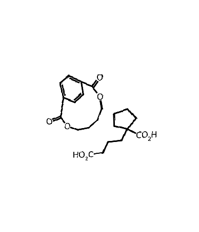 O=C(O)CCCC1(C(=O)O)CCCC1.O=C1OCCCCOC(=O)c2ccc1cc2